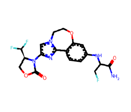 NC(=O)C(CF)Nc1ccc2c(c1)OCCn1cc(N3C(=O)OC[C@H]3C(F)F)nc1-2